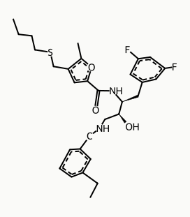 CCCCSCc1cc(C(=O)N[C@@H](Cc2cc(F)cc(F)c2)[C@@H](O)CNCc2cccc(CC)c2)oc1C